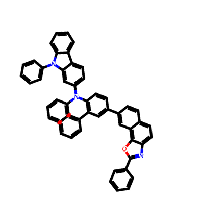 c1ccc(-c2nc3ccc4ccc(-c5ccc(N(c6ccccc6)c6ccc7c8ccccc8n(-c8ccccc8)c7c6)c(-c6ccccc6)c5)cc4c3o2)cc1